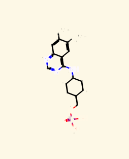 COc1cc2ncnc(NC3CCC(COP(=O)(O)O)CC3)c2cc1OC